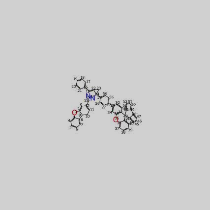 C1=C2Oc3ccccc3C2CC=C1C1N2C(c3ccccc3)=C3C[C@]3(c3ccc(-c4ccc5c(c4)Oc4ccccc4C54c5ccccc5-c5ccccc54)cc3)[N@]12